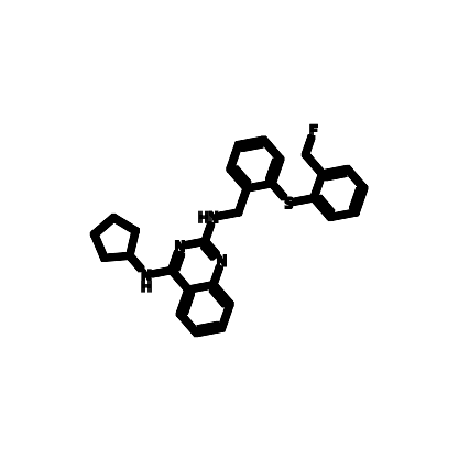 FCc1ccccc1Sc1ccccc1CNc1nc(NC2CCCC2)c2ccccc2n1